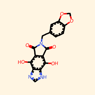 O=C1c2c(c(O)c3[nH]cnc3c2O)C(=O)N1Cc1ccc2c(c1)OCO2